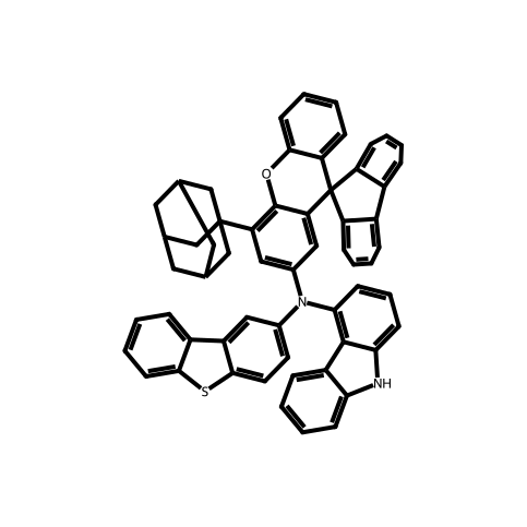 c1ccc2c(c1)Oc1c(C34CC5CC(CC(C5)C3)C4)cc(N(c3ccc4sc5ccccc5c4c3)c3cccc4[nH]c5ccccc5c34)cc1C21c2ccccc2-c2ccccc21